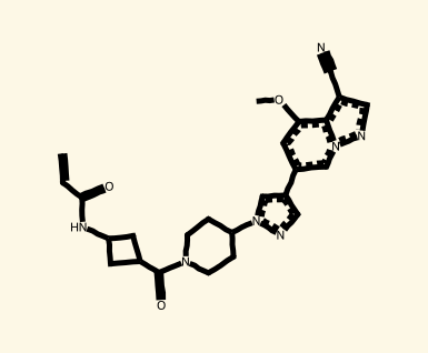 C=CC(=O)NC1CC(C(=O)N2CCC(n3cc(-c4cc(OC)c5c(C#N)cnn5c4)cn3)CC2)C1